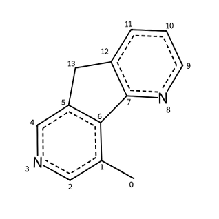 Cc1cncc2c1-c1ncccc1C2